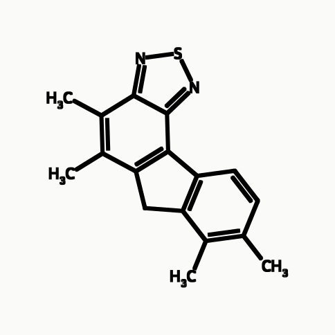 Cc1ccc2c(c1C)Cc1c(C)c(C)c3nsnc3c1-2